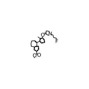 COC(=O)c1ccc2c(c1)CCCC=C2c1cccc(O[C@@H]2CCN(CCCF)C2)c1C